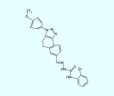 CCc1ccccc1NC(=S)N/N=C/c1ccc2c(c1)CCc1c-2nnn1-c1ccc(OC(F)(F)F)cc1